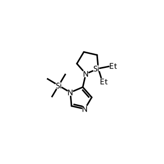 CC[Si]1(CC)CCCN1c1cncn1[Si](C)(C)C